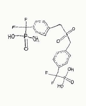 O=P(O)(O)C(F)(F)c1ccc(CS(=O)(=O)Cc2ccc(C(F)(F)P(=O)(O)O)cc2)cc1